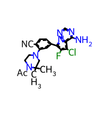 CC(=O)N1CCN(c2cc(-c3c(F)c(Cl)c4c(N)ncnn34)ccc2C#N)CC1(C)C